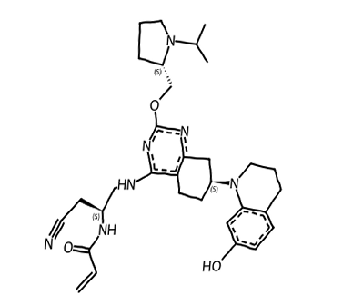 C=CC(=O)N[C@@H](CC#N)CNc1nc(OC[C@@H]2CCCN2C(C)C)nc2c1CC[C@H](N1CCCc3ccc(O)cc31)C2